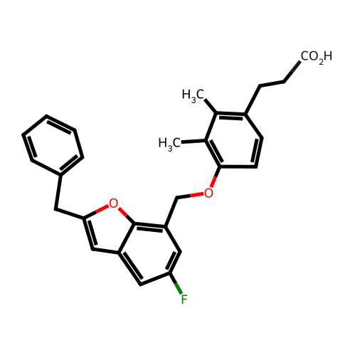 Cc1c(CCC(=O)O)ccc(OCc2cc(F)cc3cc(Cc4ccccc4)oc23)c1C